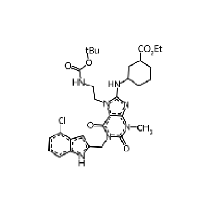 CCOC(=O)C1CCCC(Nc2nc3c(c(=O)n(Cc4cc5c(Cl)cccc5[nH]4)c(=O)n3C)n2CCNC(=O)OC(C)(C)C)C1